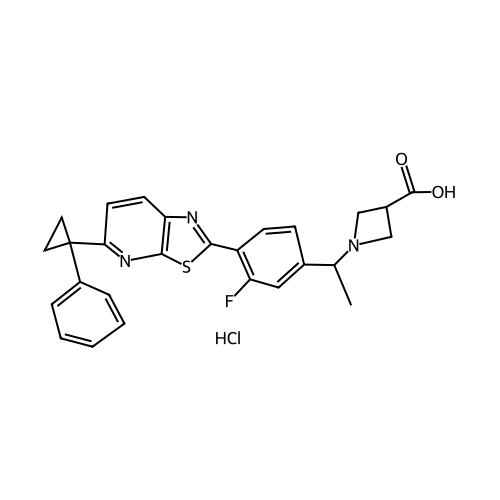 CC(c1ccc(-c2nc3ccc(C4(c5ccccc5)CC4)nc3s2)c(F)c1)N1CC(C(=O)O)C1.Cl